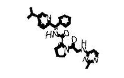 Cc1nccc(NCC(=O)N2CCC[C@H]2C(=O)N[C@@H](c2ccccc2)c2ccc(C(C)C)cn2)n1